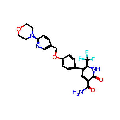 NC(=O)c1cc(-c2ccc(OCc3ccc(N4CCOCC4)nc3)cc2)c(C(F)(F)F)[nH]c1=O